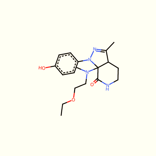 CCOCCN(C)C12C(=O)NCCC1C(C)=NN2c1ccc(O)cc1